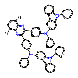 CCc1ccc(CC)c2nc(-c3ccc(N(c4ccccc4)c4ccc5c(c4)c4ccccc4n5-c4ccccc4)cc3)c(-c3ccc(N(c4ccccc4)c4ccc5c(c4)c4ccccc4n5-c4ccccc4)cc3)nc12